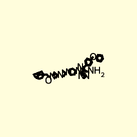 Nc1ncnc2c1c(-c1ccc(Oc3ccccc3)cc1)nn2C1CCN(C2CN(C3CN(C(=O)CC45CC6CC(C4)C(C6)C5)C3)C2)CC1